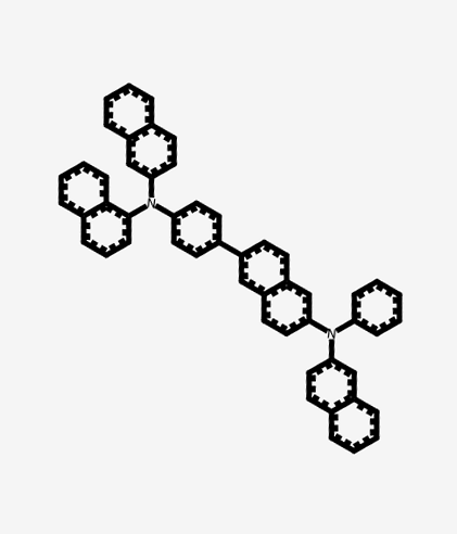 c1ccc(N(c2ccc3ccccc3c2)c2ccc3cc(-c4ccc(N(c5ccc6ccccc6c5)c5cccc6ccccc56)cc4)ccc3c2)cc1